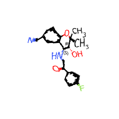 CC1(C)Oc2ccc(C#N)cc2[C@H](NCC(=O)c2ccc(F)cc2)[C@H]1O